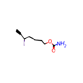 C#CC(I)CCCCOC(N)=O